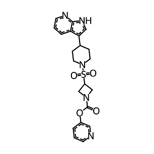 O=C(Oc1cccnc1)N1CC(S(=O)(=O)N2CCC(c3c[nH]c4ncccc34)CC2)C1